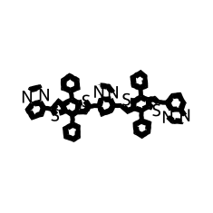 c1ccc(-c2c3cc(-c4ccc(-c5cc6c(-c7ccccc7)c7sc(-c8cccc9nccnc89)cc7c(-c7ccccc7)c6s5)c5nccnc45)sc3c(-c3ccccc3)c3cc(-c4cccc5nccnc45)sc23)cc1